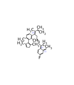 C=C(C)/C(C)=C(\CCCC/C(C)=c1\ccc(F)c\c1=C\C)c1ccc(C)c(C2=C(C)CC=C2C)c1C